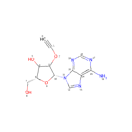 C#COC1C(O)[C@@H](CO)O[C@H]1n1cnc2c(N)ncnc21